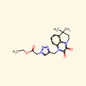 CCOC(=O)Cn1cc(Cn2c(=O)c(=O)n3c4c(cccc42)C(C)(C)CC3)nn1